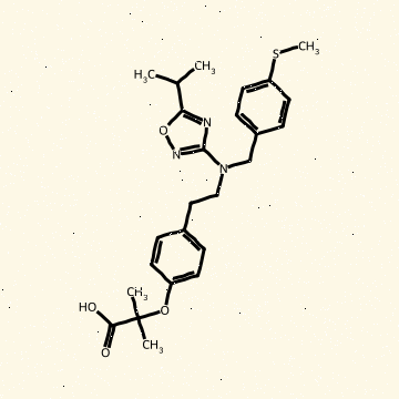 CSc1ccc(CN(CCc2ccc(OC(C)(C)C(=O)O)cc2)c2noc(C(C)C)n2)cc1